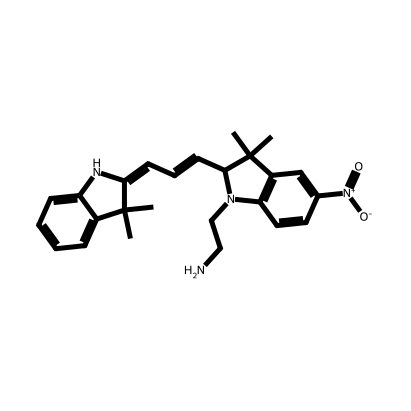 CC1(C)/C(=C\C=C\C2N(CCN)c3ccc([N+](=O)[O-])cc3C2(C)C)Nc2ccccc21